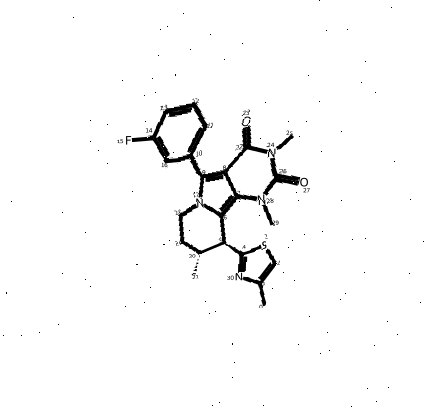 Cc1csc([C@@H]2c3c4c(c(-c5cccc(F)c5)n3CC[C@H]2C)c(=O)n(C)c(=O)n4C)n1